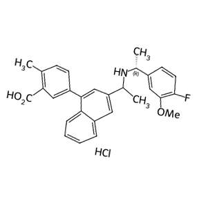 COc1cc([C@@H](C)NC(C)c2cc(-c3ccc(C)c(C(=O)O)c3)c3ccccc3c2)ccc1F.Cl